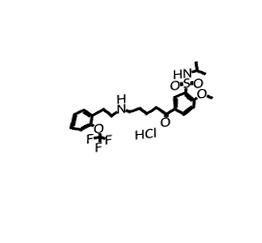 COc1ccc(C(=O)CCCCNCCc2ccccc2OC(F)(F)F)cc1S(=O)(=O)NC(C)C.Cl